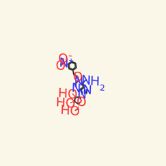 NC1=c2ncn([C@@H]3O[C@H](CO)[C@@H](O)[C@H]3O)c2=NCN1OCc1cccc([N+](=O)[O-])c1